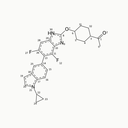 CC(=O)C1CCC(Oc2nc3c(F)c(-c4ccc5c(ccn5C5CC5)c4)c(F)cc3[nH]2)CC1